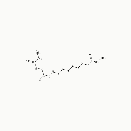 CCCCOC(=O)CCCCCCCCCC(C)CCC(=O)OCCCC